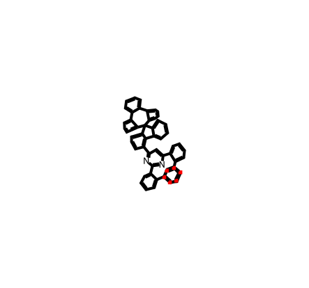 c1ccc(-c2ccccc2-c2cc(-c3cccc4c3-c3ccccc3C43c4ccccc4-c4ccccc4-c4ccccc43)nc(-c3ccccc3-c3ccccc3)n2)cc1